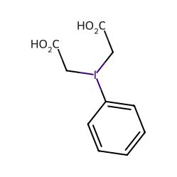 O=C(O)CI(CC(=O)O)c1ccccc1